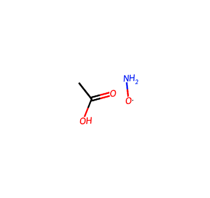 CC(=O)O.N[O]